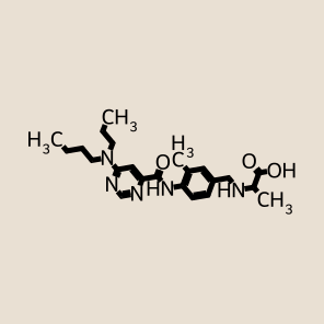 CCCCN(CCC)c1cc(C(=O)Nc2ccc(CNC(C)C(=O)O)cc2C)ncn1